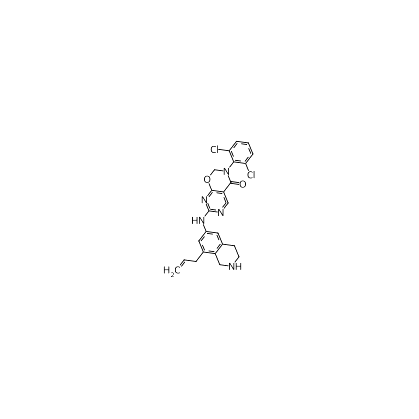 C=CCc1cc(Nc2ncc3c(n2)OCN(c2c(Cl)cccc2Cl)C3=O)cc2c1CNCC2